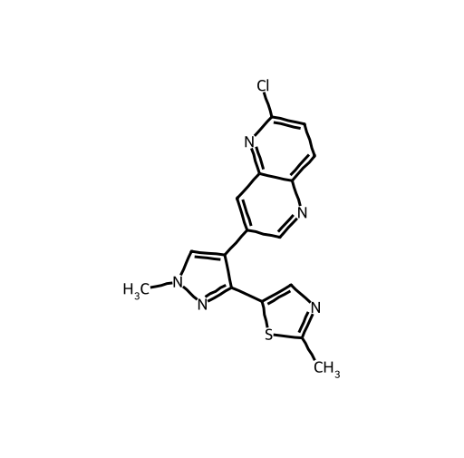 Cc1ncc(-c2nn(C)cc2-c2cnc3ccc(Cl)nc3c2)s1